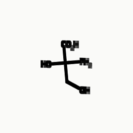 O=C(O)C(O)(P)CO